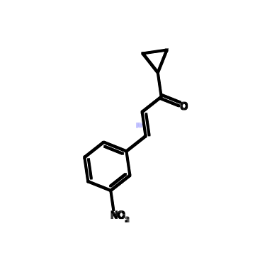 O=C(/C=C/c1cccc([N+](=O)[O-])c1)C1CC1